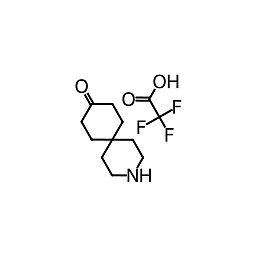 O=C(O)C(F)(F)F.O=C1CCC2(CCNCC2)CC1